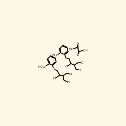 O=C(O)C(=O)O.O=C(O)c1ccccc1OCC(Cl)C(CCl)CCl.O=C(O)c1ccccc1OCC(Cl)C(CCl)CCl